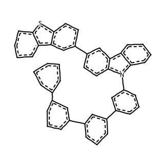 c1ccc(-c2cccc(-c3cccc(-c4cccc(-n5c6ccccc6c6cc(-c7ccc8sc9ccccc9c8c7)ccc65)c4)c3)c2)cc1